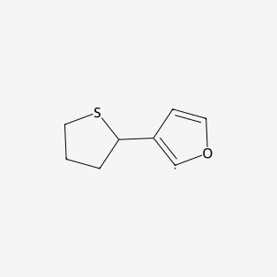 [c]1occc1C1CCCS1